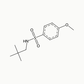 COc1ccc(S(=O)(=O)NCC(C)(C)C)cc1